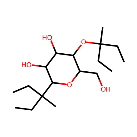 CCC(C)(CC)OC1C(CO)OC(C(C)(CC)CC)C(O)C1O